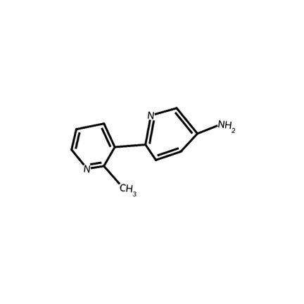 Cc1ncccc1-c1ccc(N)cn1